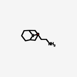 NCCOB1C2CCCC1CCC2